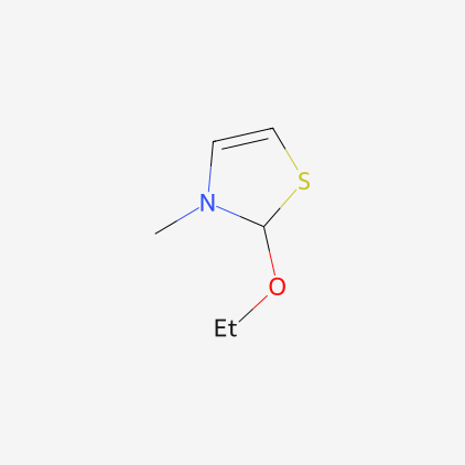 CCOC1SC=CN1C